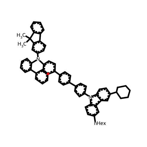 CCCCCCc1ccc2c(c1)c1cc(C3CCCCC3)ccc1n2-c1ccc(-c2ccc(-c3ccc(N(c4ccc5c(c4)C(C)(C)c4ccccc4-5)c4ccccc4-c4ccccc4)cc3)cc2)cc1